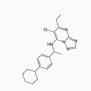 CCc1nc2ncnn2c(NC(C)c2ccc(C3CCCCC3)cc2)c1Cl